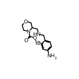 CC(C)(C)OC(=O)N1CCOCC1CNCc1ccc(N)cc1